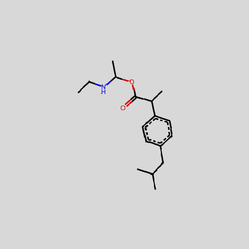 CCNC(C)OC(=O)C(C)c1ccc(CC(C)C)cc1